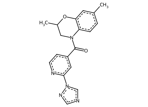 Cc1ccc2c(c1)OC(C)CN2C(=O)c1ccnc(-n2cncn2)c1